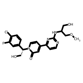 COCC(CO)Nc1nccc(-c2ccn([C@H](CO)c3ccc(Cl)c(F)c3)c(=O)c2)n1